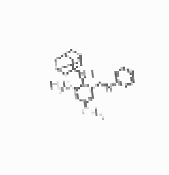 Cc1cc(C)c(NC23CC4CC(CC(C4)C2)C3)c(/C=N/c2ccccc2)c1